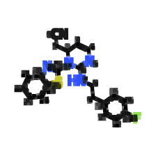 N#CCC1C=CN=C(NCCc2ccc(F)cc2)N1c1nc2ccccc2s1